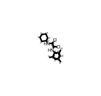 Cc1cc(C)c(N/C(Cl)=C(/Cl)NC2CCCCC2)c(C)c1